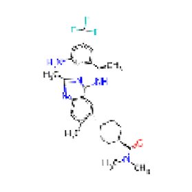 Cc1nc(N[C@H](C)c2cc(N)cc(C(F)(F)F)c2)c2cc([C@H]3CC[C@H](C(=O)N(C)C)CC3)c(C)cc2n1